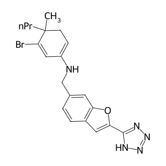 CCCC1(C)CC=C(NCc2ccc3cc(-c4nnn[nH]4)oc3c2)C=C1Br